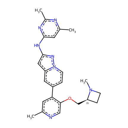 Cc1cc(-c2ccn3nc(Nc4cc(C)nc(C)n4)cc3c2)c(OC[C@@H]2CCN2C)cn1